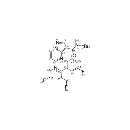 CC(C)(C)NC(=O)c1cnn2ccc(N(CCF)[C@H](CCF)c3cccc(F)c3)nc12